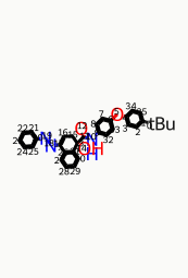 CC(C)(C)c1ccc(Oc2ccc(NC(=O)C3(O)CC=C(N=Nc4ccccc4)c4ccccc43)cc2)cc1